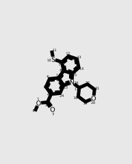 COC(=O)c1ccc2c3c(SC)cccc3n(C3CCOCC3)c2c1